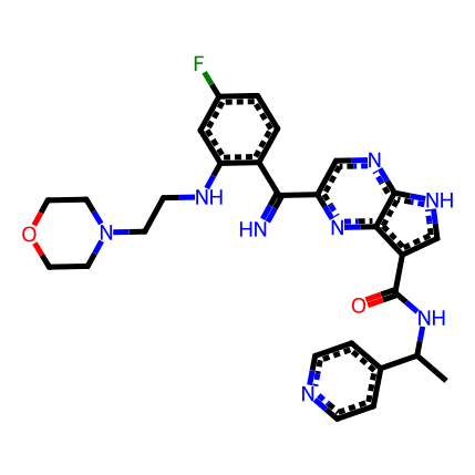 CC(NC(=O)c1c[nH]c2ncc(C(=N)c3ccc(F)cc3NCCN3CCOCC3)nc12)c1ccncc1